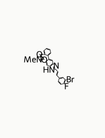 CNS(=O)(=O)c1ccccc1-c1ccc2[nH]c(C=Cc3ccc(F)c(Br)c3)nc2c1